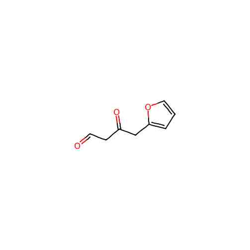 O=CCC(=O)Cc1ccco1